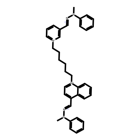 CN(/N=C/c1ccc[n+](CCCCCC[n+]2ccc(/C=N/N(C)c3ccccc3)c3ccccc32)c1)c1ccccc1